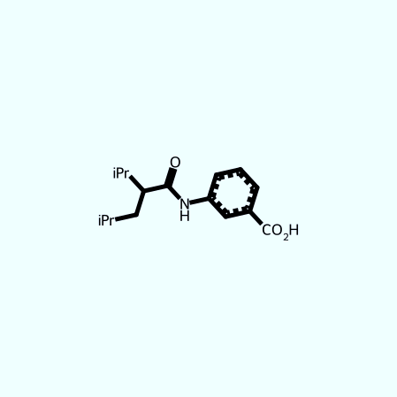 CC(C)CC(C(=O)Nc1cccc(C(=O)O)c1)C(C)C